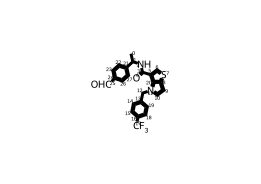 CC(NC(=O)c1csc2ccn(Cc3ccc(C(F)(F)F)cc3)c12)c1ccc(C=O)cc1